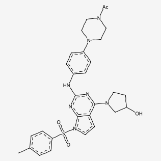 CC(=O)N1CCN(c2ccc(Nc3nc(N4CCC(O)C4)c4ccn(S(=O)(=O)c5ccc(C)cc5)c4n3)cc2)CC1